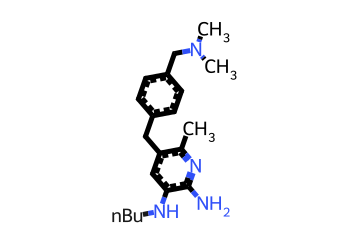 CCCCNc1cc(Cc2ccc(CN(C)C)cc2)c(C)nc1N